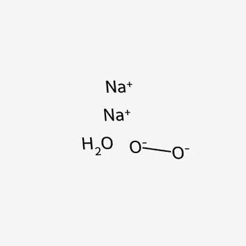 O.[Na+].[Na+].[O-][O-]